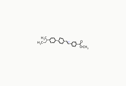 CCC(C)c1ccc(-c2ccc(/C=C/c3ccc(C(=O)OC)cc3)cc2)cc1